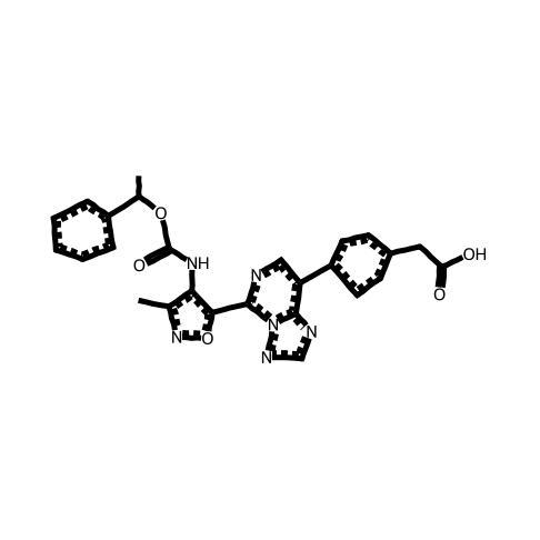 Cc1noc(-c2ncc(-c3ccc(CC(=O)O)cc3)c3ncnn23)c1NC(=O)OC(C)c1ccccc1